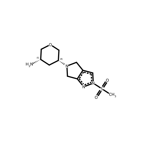 CS(=O)(=O)n1cc2c(n1)CN([C@H]1COC[C@@H](N)C1)C2